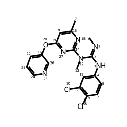 C/N=C(/Nc1ccc(Cl)c(Cl)c1)N(C)c1nc(C)cc(Oc2cccnc2)n1